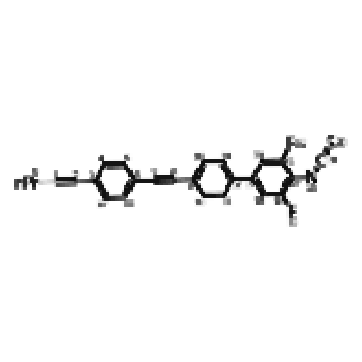 CCCC#Cc1ccc(C#Cc2ccc(-c3cc(F)c(N=C=S)c(F)c3)cc2)cc1